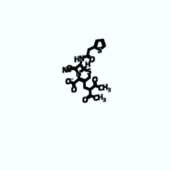 CC(=O)C(CC1=C(C(=O)[O-])N2C(=O)[C@@H](NC(=O)Cc3cccs3)[C@@H]2SC1)C(C)=O.[Na+]